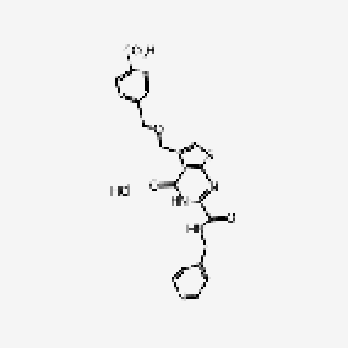 Cl.O=C(O)c1ccc(COCc2csc3nc(C(=O)NCc4ccncc4)[nH]c(=O)c23)cc1